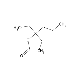 CCCC(CC)(CC)O[C]=O